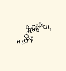 COc1ccc(CN2CCn3c(ccc(-n4cnc(C)c4)c3=O)C2=O)cc1C(F)(F)F